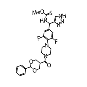 COC(=S)NC(c1cc(F)c(N2CCN(C(=O)C3COC(c4ccccc4)OC3)CC2)c(F)c1)c1c[nH]nn1